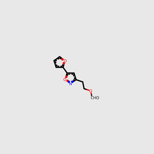 O=COCCc1cc(-c2ccco2)on1